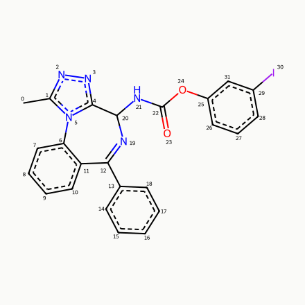 Cc1nnc2n1-c1ccccc1C(c1ccccc1)=NC2NC(=O)Oc1cccc(I)c1